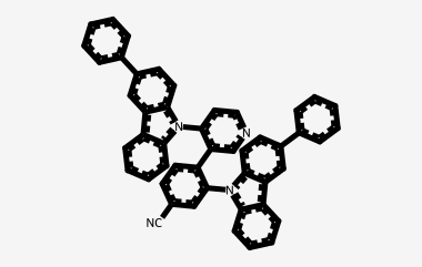 N#Cc1ccc(-c2cnccc2-n2c3ccccc3c3cc(-c4ccccc4)ccc32)c(-n2c3ccccc3c3cc(-c4ccccc4)ccc32)c1